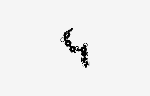 CCCN1CCN(C(=O)c2ccc(-c3ccc(C)c(OCc4cc(OC)cc5oc(-c6cn7nc(C)sc7n6)cc45)c3)cc2)CC1